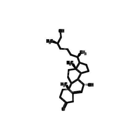 C[C@@H](CO)CCC[C@@H](C)C1CCC2C3C(CC[C@@]21C)[C@@]1(C)CCC(=O)CC1=C[C@H]3O